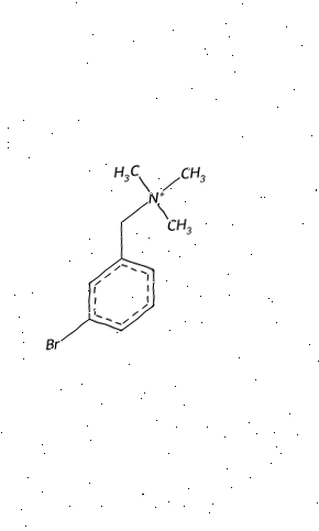 C[N+](C)(C)Cc1cccc(Br)c1